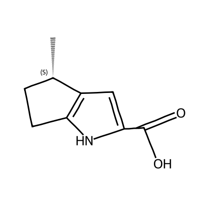 C[C@H]1CCc2[nH]c(C(=O)O)cc21